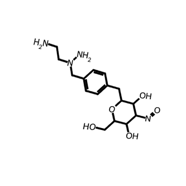 NCCN(N)Cc1ccc(CC2OC(CO)C(O)C(N=O)C2O)cc1